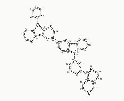 c1ccc(-n2c3ccccc3c3cc(-c4ccc5c(c4)c4ccccc4n5-c4cccc(-c5nccc6ccccc56)c4)ccc32)cc1